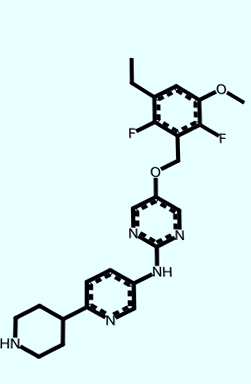 CCc1cc(OC)c(F)c(COc2cnc(Nc3ccc(C4CCNCC4)nc3)nc2)c1F